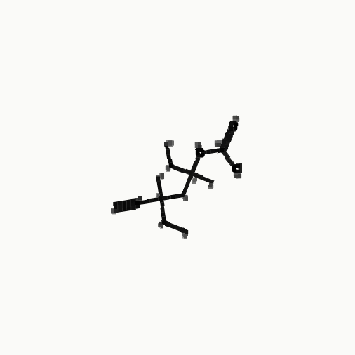 C#CC(C)(CC)CC(C)(CC)OC(=O)Cl